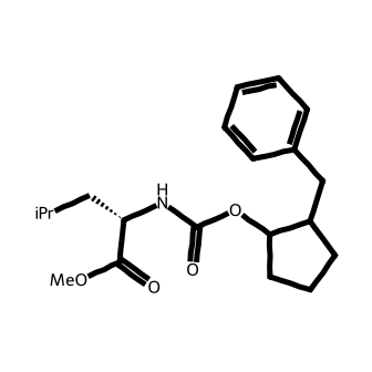 COC(=O)[C@H](CC(C)C)NC(=O)OC1CCCC1Cc1ccccc1